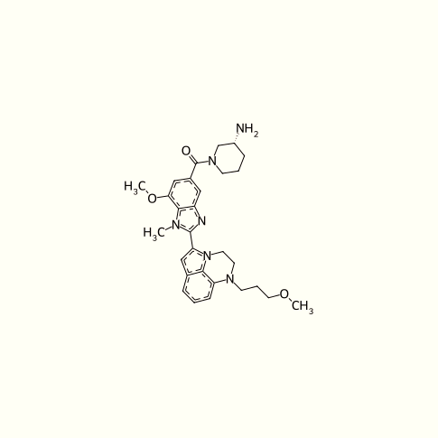 COCCCN1CCn2c(-c3nc4cc(C(=O)N5CCC[C@@H](N)C5)cc(OC)c4n3C)cc3cccc1c32